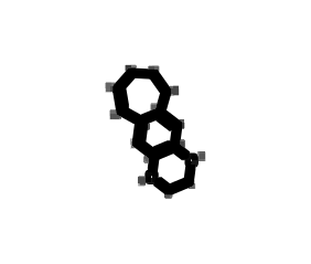 [CH]1COc2cc3c(cc2O1)C=CCCC3